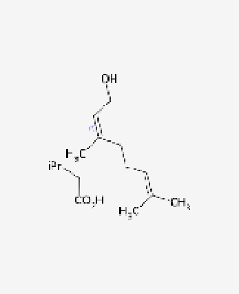 CC(C)=CCC/C(C)=C\CO.CC(C)CC(=O)O